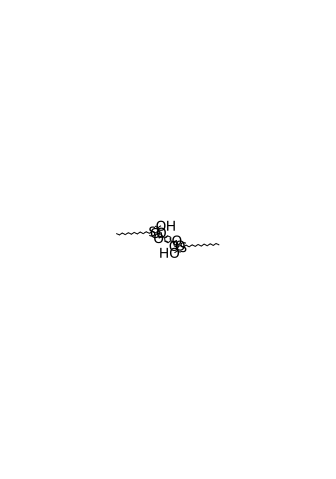 CCCCCCCCCCCCSOC(OC(=O)c1ccc(C(=O)OC(OSCCCCCCCCCCCC)C(C)O)cc1)C(C)O